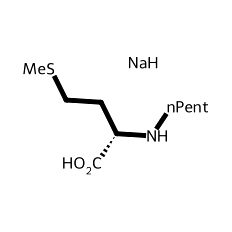 CCCCCN[C@@H](CCSC)C(=O)O.[NaH]